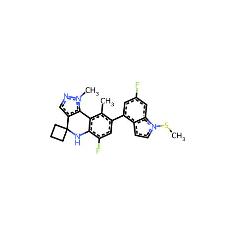 CSn1ccc2c(-c3cc(F)c4c(c3C)-c3c(cnn3C)C3(CCC3)N4)cc(F)cc21